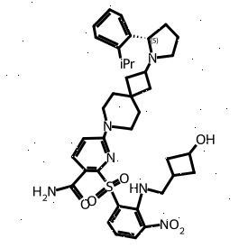 CC(C)c1ccccc1[C@@H]1CCCN1C1CC2(CCN(c3ccc(C(N)=O)c(S(=O)(=O)c4cccc([N+](=O)[O-])c4NCC4CC(O)C4)n3)CC2)C1